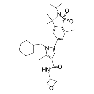 Cc1cc(-c2cc(C(=O)NC3COC3)c(C)n2CC2CCCCC2)cc2c1S(=O)(=O)N(C(C)C)C2(C)C